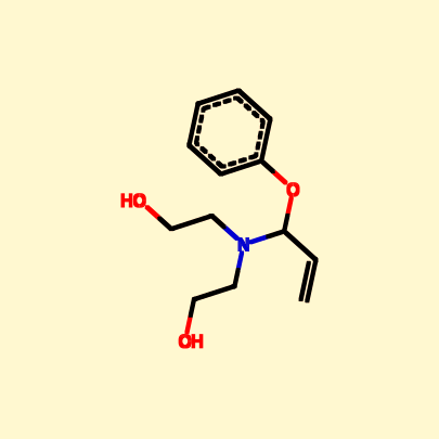 C=CC(Oc1ccccc1)N(CCO)CCO